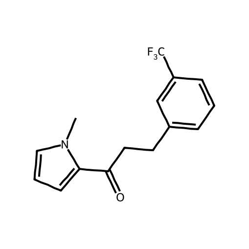 Cn1cccc1C(=O)CCc1cccc(C(F)(F)F)c1